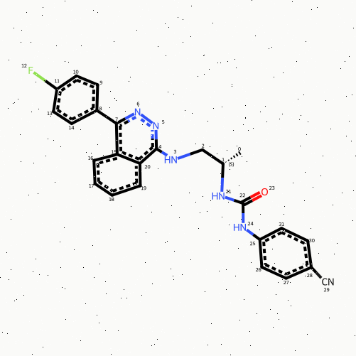 C[C@@H](CNc1nnc(-c2ccc(F)cc2)c2ccccc12)NC(=O)Nc1ccc(C#N)cc1